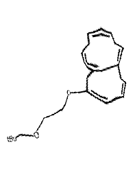 CC(C)(C)OCCOc1cccc2ccccc12